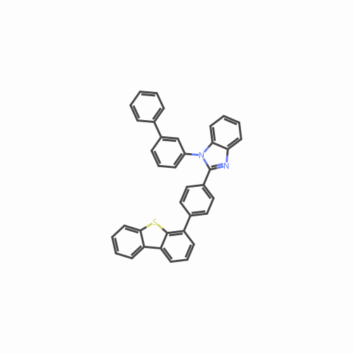 c1ccc(-c2cccc(-n3c(-c4ccc(-c5cccc6c5sc5ccccc56)cc4)nc4ccccc43)c2)cc1